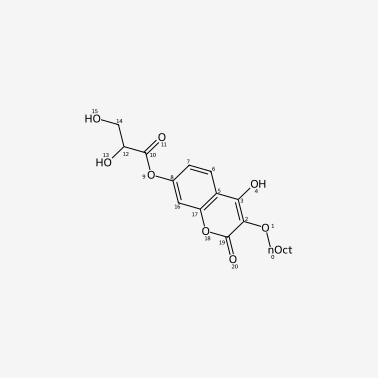 CCCCCCCCOc1c(O)c2ccc(OC(=O)C(O)CO)cc2oc1=O